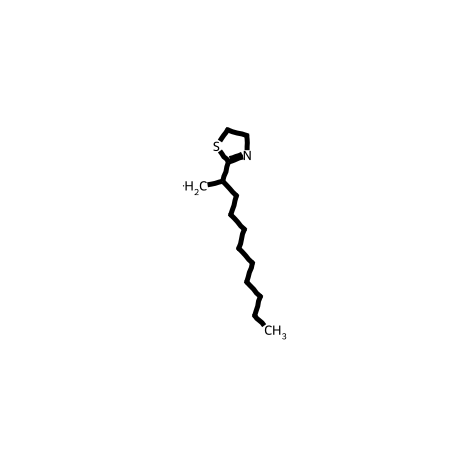 [CH2]C(CCCCCCCCC)C1=NCCS1